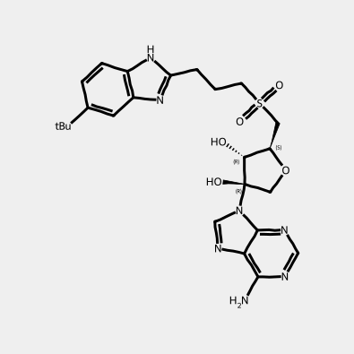 CC(C)(C)c1ccc2[nH]c(CCCS(=O)(=O)C[C@H]3OC[C@](O)(n4cnc5c(N)ncnc54)[C@@H]3O)nc2c1